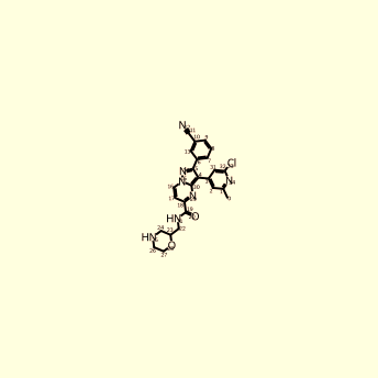 Cc1cc(-c2c(-c3cccc(C#N)c3)nn3ccc(C(=O)NCC4CNCCO4)nc23)cc(Cl)n1